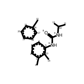 Cc1cccc(NC(=O)NC(C)C)c1C.Cc1ccccc1